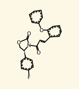 O=C(/C=C/c1ccccc1Oc1ccccc1)N1C(=O)OC[C@@H]1c1ccc(F)cc1